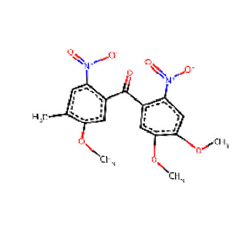 COc1cc(C(=O)c2cc(OC)c(OC)cc2[N+](=O)[O-])c([N+](=O)[O-])cc1C